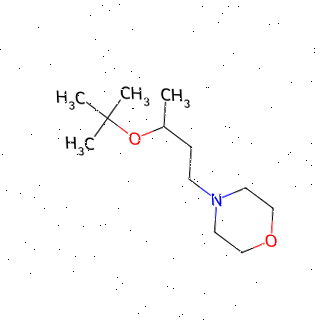 CC(CCN1CCOCC1)OC(C)(C)C